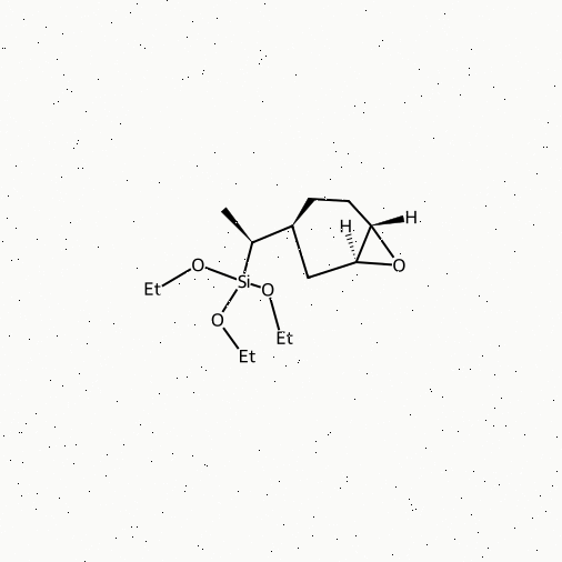 CCO[Si](OCC)(OCC)[C@@H](C)[C@H]1CC[C@@H]2O[C@H]2C1